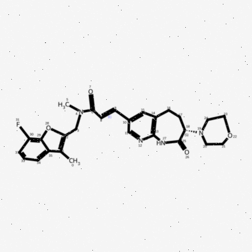 Cc1c(CN(C)C(=O)/C=C/c2cnc3c(c2)CC[C@H](N2CCOCC2)C(=O)N3)oc2c(F)cccc12